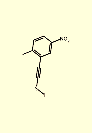 Cc1ccc([N+](=O)[O-])cc1C#CSI